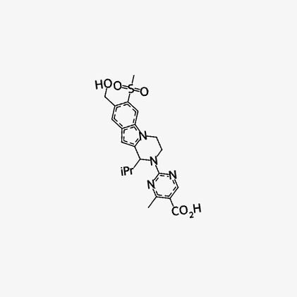 Cc1nc(N2CCn3c(cc4cc(CO)c(S(C)(=O)=O)cc43)C2C(C)C)ncc1C(=O)O